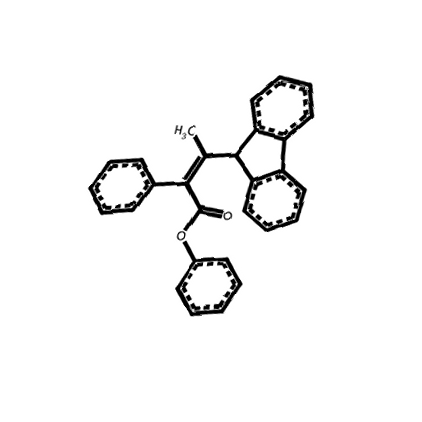 CC(=C(C(=O)Oc1ccccc1)c1ccccc1)C1c2ccccc2-c2ccccc21